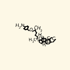 CC(CCCC(C)[C@H]1CC[C@H]2[C@@H]3CCC4CCCC[C@]4(C)[C@H]3CC[C@]12C)COCc1ccc(N)cc1